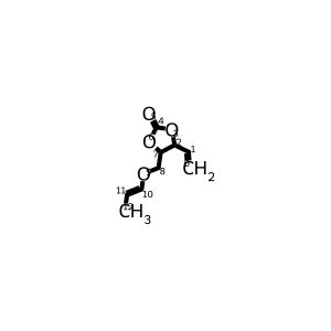 C=CC1OC(=O)OC1COC=CC